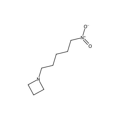 O=[N+]([O-])CCCCCN1CCC1